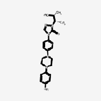 C[C@@H](O)[C@H](C)n1ncn(-c2ccc(N3CCN(c4ccc(O)cc4)CC3)cc2)c1=O